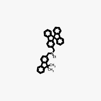 CCN(Cc1ccc2c(c1)C(C)(C)c1ccccc1-2)Cc1ccc2c(c1)C1(c3ccccc3-c3ccccc31)c1ccccc1-2